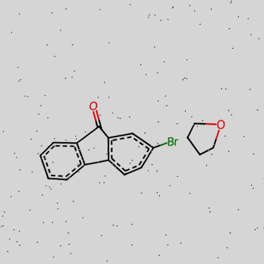 C1CCOC1.O=C1c2ccccc2-c2ccc(Br)cc21